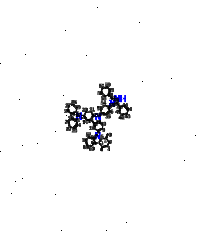 C=C1CC=Cc2c1n(-c1ccc3c(c1)c1cc(-n4c5c(c6ccc#cc64)CCC=C5)ccc1n3C1=C=C=C(N3C(c4ccccc4)NC3c3ccccc3)C=C1)c1ccccc21